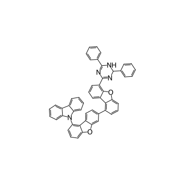 c1ccc(C2=NC(c3cccc4c3oc3cccc(-c5ccc6c(c5)oc5cccc(-n7c8ccccc8c8ccccc87)c56)c34)=NC(c3ccccc3)N2)cc1